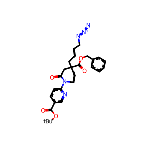 CC(C)(C)OC(=O)c1ccc(N2CCC(CCCCN=[N+]=[N-])(C(=O)OCc3ccccc3)CC2=O)nc1